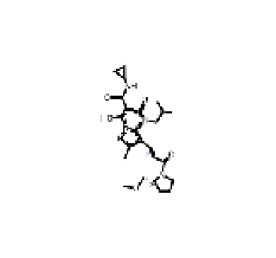 COC[C@H]1CCCN1C(=O)/C=C/c1c(C)nn2c(O)c(C(=O)NC3CC3)c(=O)n(CC(C)C)c12